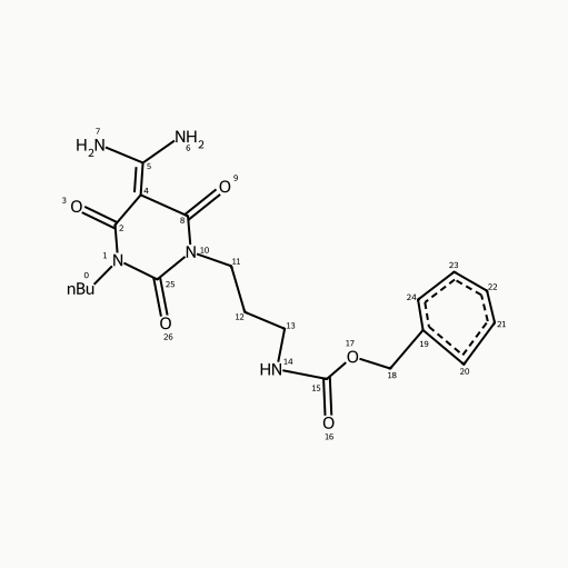 CCCCN1C(=O)C(=C(N)N)C(=O)N(CCCNC(=O)OCc2ccccc2)C1=O